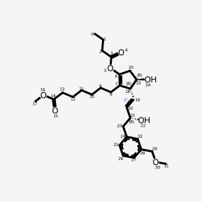 CCCC(=O)OC1=C(CCCCCCC(=O)OC)[C@@H](/C=C/[C@H](O)Cc2cccc(COC)c2)[C@H](O)C1